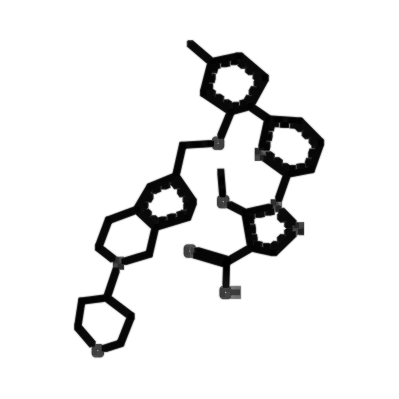 COc1c(C(=O)O)cnn1-c1cccc(-c2ccc(C)cc2OCc2ccc3c(c2)CCN(C2CCOCC2)C3)n1